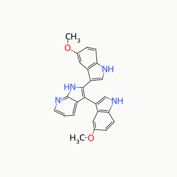 COc1ccc2[nH]cc(-c3[nH]c4ncccc4c3-c3c[nH]c4ccc(OC)cc34)c2c1